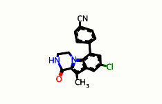 Cc1c2n(c3c(-c4ccc(C#N)cc4)cc(Cl)cc13)CCNC2=O